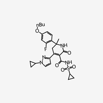 CCCCOc1ccc(C2(C)CC(c3ccn(C4CC4)n3)=C(C(=O)NS(=O)(=O)C3CC3)C(=O)N2)c(F)c1